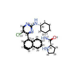 O=C(N[C@H]1CCC[C@@H](Nc2ncc(Cl)c(-c3cc#cc4ccccc34)n2)C1)[C@H]1CCCN1